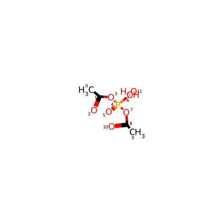 CC(=O)OP(=O)(O)OC(C)=O.O